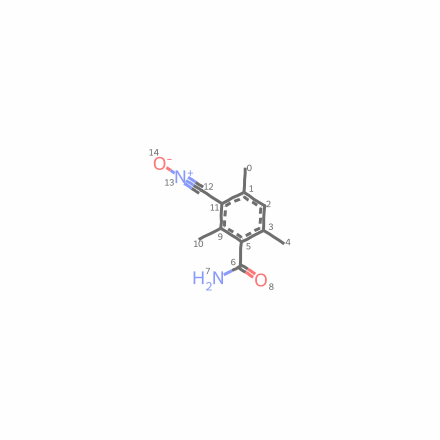 Cc1cc(C)c(C(N)=O)c(C)c1C#[N+][O-]